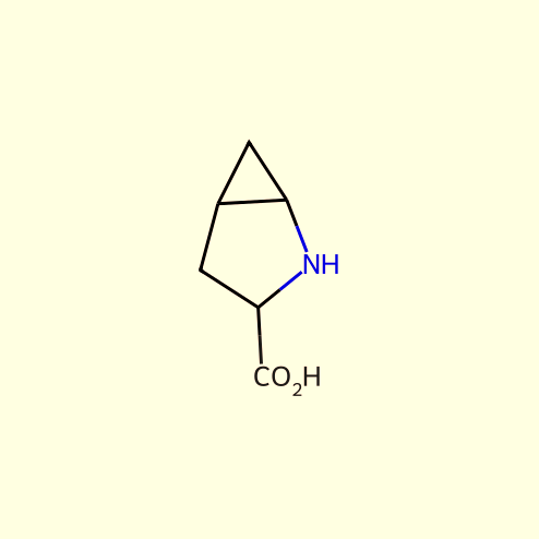 O=C(O)C1CC2CC2N1